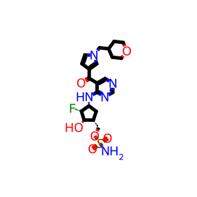 NS(=O)(=O)OC[C@H]1C[C@@H](Nc2ncncc2C(=O)c2ccn(CC3CCOCC3)c2)[C@@H](F)[C@@H]1O